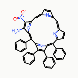 NC1=C([N+](=O)[O-])C2=NC1=C(c1ccccc1)C1=NC(=C(c3ccccc3)C3=NC(=CC4=NC(=C2)C=C4)C=C3)C(c2ccccc2)=C1c1ccccc1